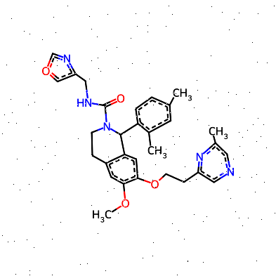 COc1cc2c(cc1OCCc1cncc(C)n1)C(c1ccc(C)cc1C)N(C(=O)NCc1cocn1)CC2